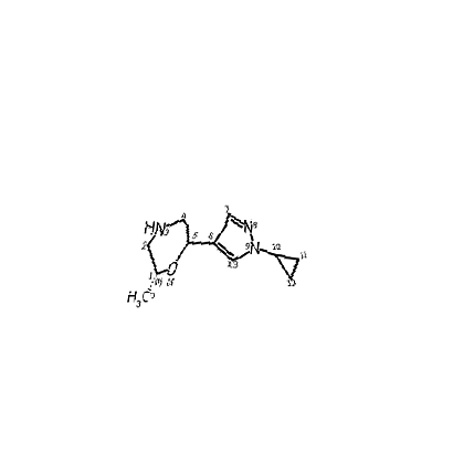 C[C@@H]1CNCC(c2cnn(C3CC3)c2)O1